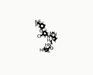 O=C(NCCn1ccc2ncnc(Nc3ccc(Oc4cccc(C(F)(F)F)c4)c(Cl)c3)c21)c1cc[nH]n1